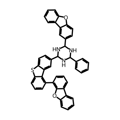 c1ccc(C2NC(c3ccc4oc5ccccc5c4c3)NC(c3ccc4sc5cccc(-c6cccc7c6oc6ccccc67)c5c4c3)N2)cc1